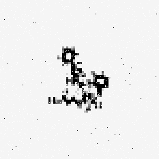 CN(C(=O)NCc1cccc(F)c1F)[C@@H](CCCC(=O)O)COC(=O)Nc1cc(-c2ccccc2)on1